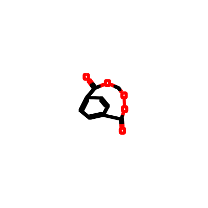 O=C1OCOOC(=O)c2ccc1cc2